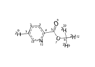 [2H]c1ccc(C(=O)OC([2H])([2H])[2H])nc1